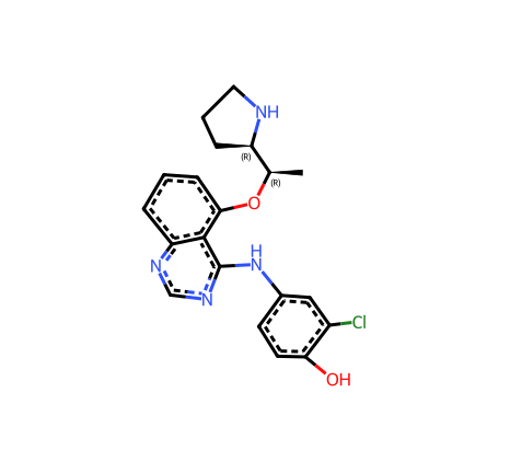 C[C@@H](Oc1cccc2ncnc(Nc3ccc(O)c(Cl)c3)c12)[C@H]1CCCN1